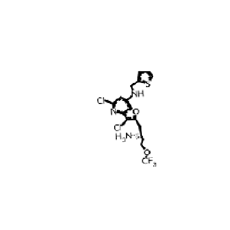 N[C@@H](CCOC(F)(F)F)Cc1oc2c(NCc3cccs3)cc(Cl)nc2c1Cl